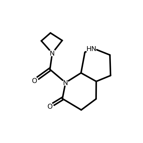 O=C1CCC2CCNCC2N1C(=O)N1CCC1